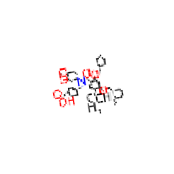 CC(C)c1cc(C(=O)N(Cc2ccc(C(=O)O)cc2)c2ccc3c(c2)OCO3)c(OCc2ccccc2)cc1OCc1ccccc1